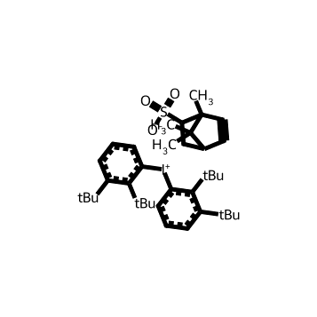 CC(C)(C)c1cccc([I+]c2cccc(C(C)(C)C)c2C(C)(C)C)c1C(C)(C)C.CC1(C)C2C#CC1(C)C(S(=O)(=O)[O-])C2